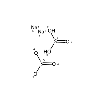 O=S(O)O.O=S([O-])[O-].[Na+].[Na+]